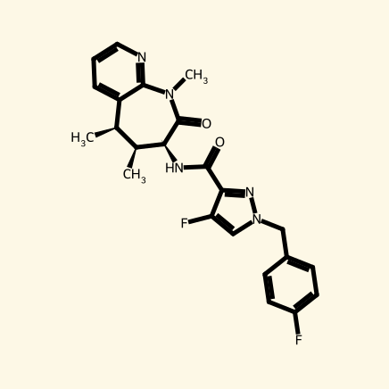 C[C@@H]1[C@H](NC(=O)c2nn(Cc3ccc(F)cc3)cc2F)C(=O)N(C)c2ncccc2[C@@H]1C